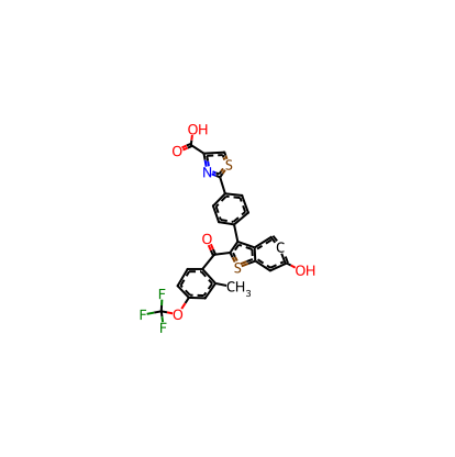 Cc1cc(OC(F)(F)F)ccc1C(=O)c1sc2cc(O)ccc2c1-c1ccc(-c2nc(C(=O)O)cs2)cc1